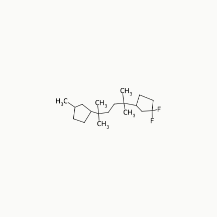 CC1CCC(C(C)(C)CCC(C)(C)C2CCC(F)(F)C2)C1